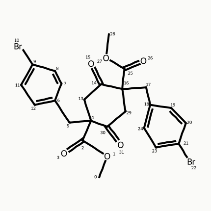 COC(=O)C1(Cc2ccc(Br)cc2)CC(=O)C(Cc2ccc(Br)cc2)(C(=O)OC)CC1=O